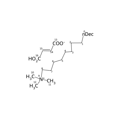 CCCCCCCCCCCCCCCCCC[N+](C)(C)C.O=C([O-])C=CC(=O)O